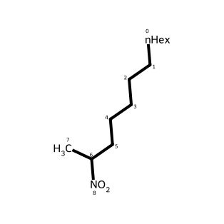 CCCCCCCCCCCC(C)[N+](=O)[O-]